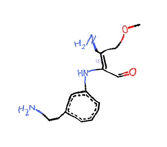 COC/C(N)=C(\C=O)Nc1cccc(CN)c1